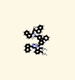 C=C(/C=C(\N=C(/C)c1ccc(C2(c3ccc(/C=N/C(=C\C(=N/C)c4cccc5ccccc45)c4cccc(CC)c4/C=C\C)cc3)CCCCC2)cc1)c1cccc2ccccc12)C1=CCCc2ccccc21